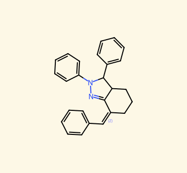 C(=C1\CCCC2C1=NN(c1ccccc1)C2c1ccccc1)/c1ccccc1